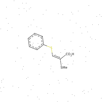 CS/C(=C/Sc1ccccc1)C(=O)O